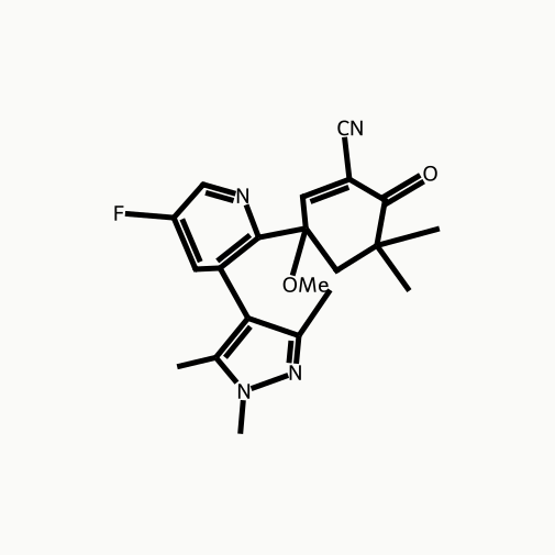 COC1(c2ncc(F)cc2-c2c(C)nn(C)c2C)C=C(C#N)C(=O)C(C)(C)C1